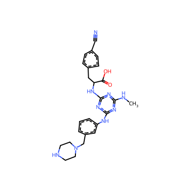 CNc1nc(Nc2cccc(CN3CCNCC3)c2)nc(NC(Cc2ccc(C#N)cc2)C(=O)O)n1